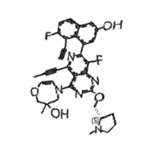 C#Cc1c(F)ccc2cc(O)cc(-c3nc(C#CC)c4c(N5C=COCC(C)(O)C5)nc(OC[C@@H]5CCCN5C)nc4c3F)c12